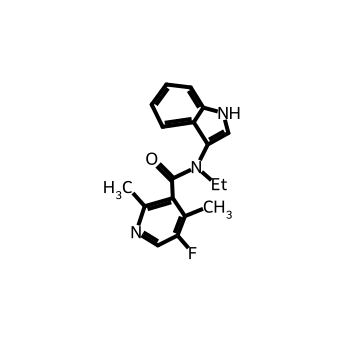 CCN(C(=O)c1c(C)ncc(F)c1C)c1c[nH]c2ccccc12